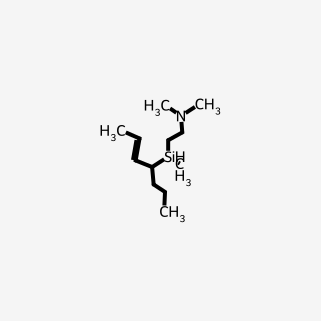 C/C=C/C(CCC)[SiH](C)CCN(C)C